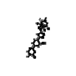 CN1C[C@H]2CC[C@]1(C)[C@@H](F)[C@@H]2Oc1nnc(-c2ccc(-c3ncn(C)c(=O)n3)cc2O)s1